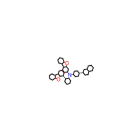 c1ccc(N(c2ccc(-c3ccc4ccccc4c3)cc2)c2ccc3c(c2)oc2ccccc23)c(-c2cccc3c2oc2ccccc23)c1